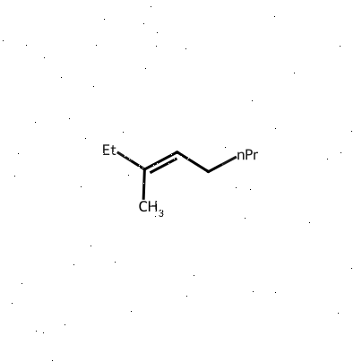 [CH2]CC(C)=CCCCC